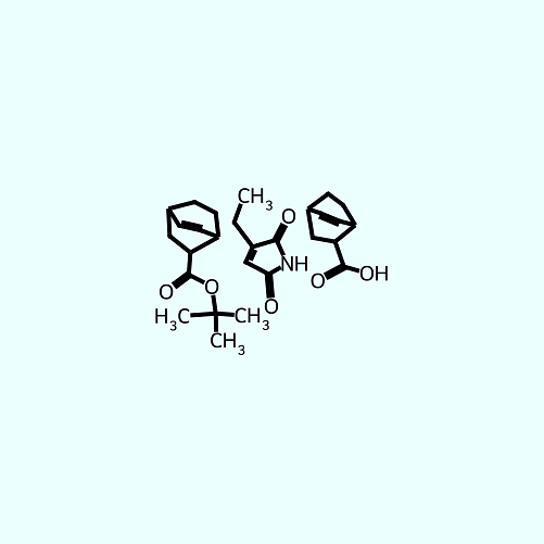 CC(C)(C)OC(=O)C1CC2C=CC1CC2.CCC1=CC(=O)NC1=O.O=C(O)C1CC2C=CC1CC2